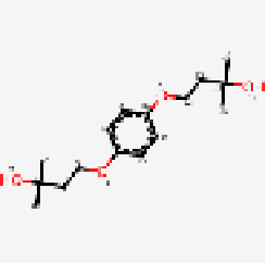 CC(C)(O)CCOc1ccc(OCCC(C)(C)O)cc1